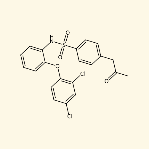 CC(=O)Cc1ccc(S(=O)(=O)Nc2ccccc2Oc2ccc(Cl)cc2Cl)cc1